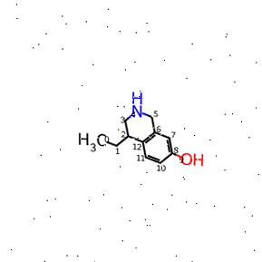 CCC1CNCc2cc(O)ccc21